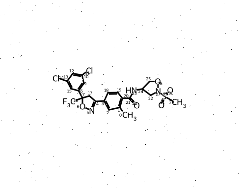 Cc1cc(C2=NOC(c3cc(Cl)cc(Cl)c3)(C(F)(F)F)C2)ccc1C(=O)NC1CON(S(C)(=O)=O)C1